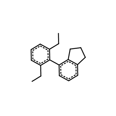 CCc1cccc(CC)c1-c1cccc2c1CCC2